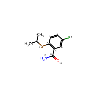 CC(C)Sc1ccc(F)cc1C(N)=O